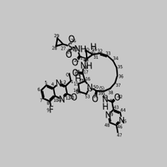 CCc1nc2cccc(F)c2nc1O[C@@H]1C[C@H]2C(=O)N[C@]3(C(=O)NS(=O)(=O)C4CC4)C[C@H]3C=CCCCCC[C@H](NC(=O)c3cnc(C)cn3)C(=O)N2C1